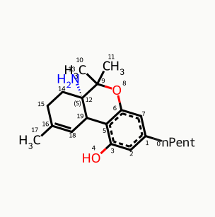 CCCCCc1cc(O)c2c(c1)OC(C)(C)[C@]1(N)CCC(C)=CC21